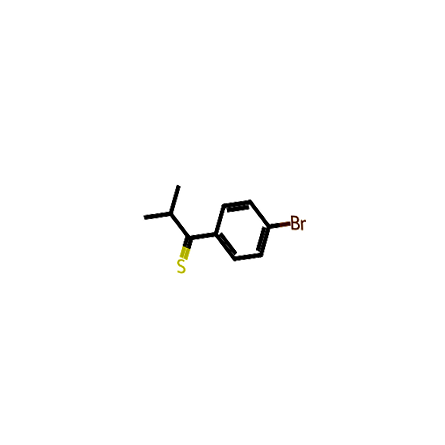 CC(C)C(=S)c1ccc(Br)cc1